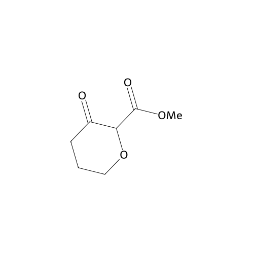 COC(=O)C1OCCCC1=O